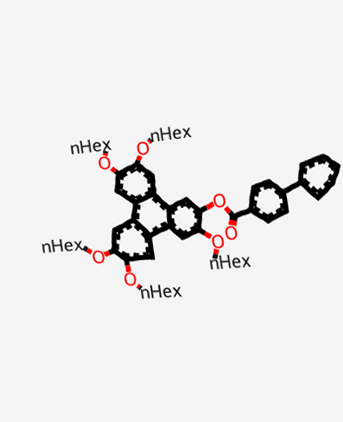 CCCCCCOc1cc2c3cc(OCCCCCC)c(OCCCCCC)cc3c3cc(OC(=O)c4ccc(-c5ccccc5)cc4)c(OCCCCCC)cc3c2cc1OCCCCCC